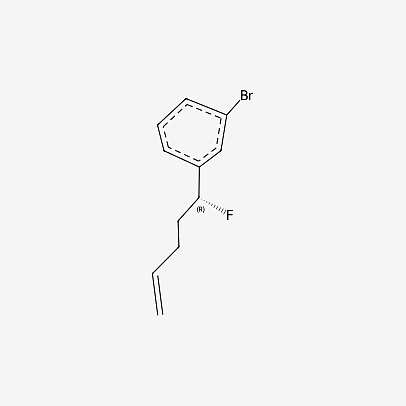 C=CCC[C@@H](F)c1cccc(Br)c1